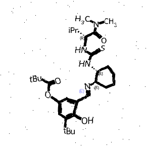 CC(C)[C@@H](NC(=S)N[C@@H]1CCCC[C@H]1/N=C/c1cc(OC(=O)C(C)(C)C)cc(C(C)(C)C)c1O)C(=O)N(C)C